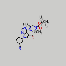 C[C@@H]1CN(c2ncnc3c2c(C=O)cn3C2CCCC(C#N)C2)[C@@H](C)CN1C(=O)OC(C)(C)C